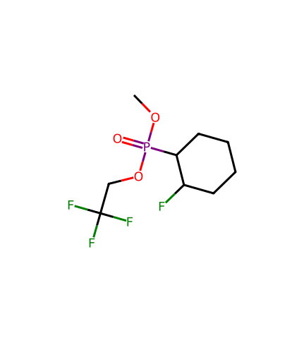 COP(=O)(OCC(F)(F)F)C1CCCCC1F